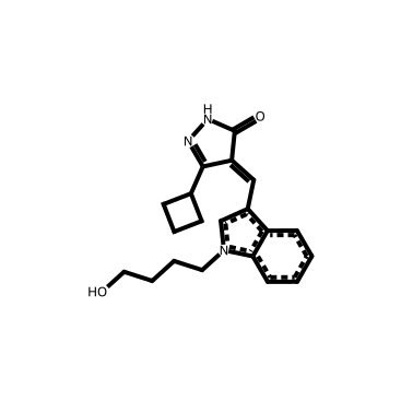 O=C1NN=C(C2CCC2)/C1=C\c1cn(CCCCO)c2ccccc12